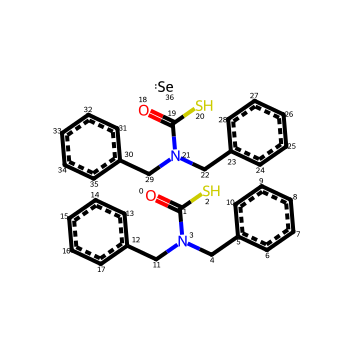 O=C(S)N(Cc1ccccc1)Cc1ccccc1.O=C(S)N(Cc1ccccc1)Cc1ccccc1.[Se]